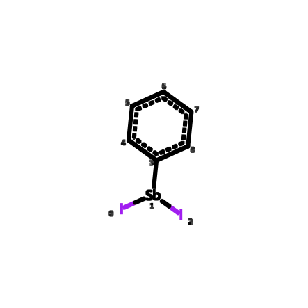 [I][Sb]([I])[c]1ccccc1